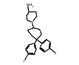 NC1CCN(C2CCC(c3ccc(F)cc3)(c3ccc(F)cc3)CC2)CC1